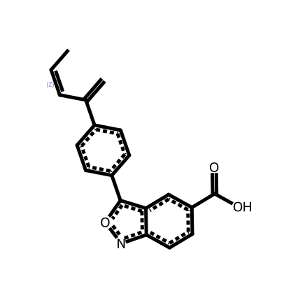 C=C(/C=C\C)c1ccc(-c2onc3ccc(C(=O)O)cc23)cc1